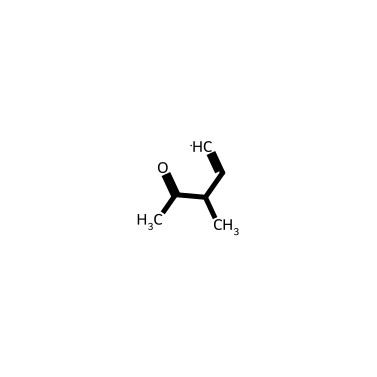 [CH]=CC(C)C(C)=O